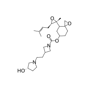 CC(C)=CC[C@H]1O[C@]1(C)C1CC(OC(=O)N2CC(CCN3CC[C@H](O)C3)C2)CCC12CO2